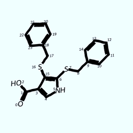 O=C(O)c1c[nH]c(SCc2ccccc2)c1SCc1ccccc1